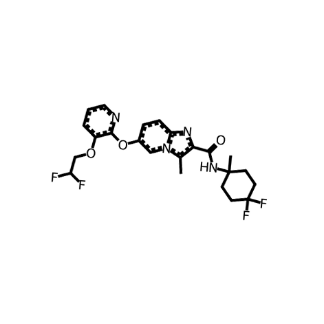 Cc1c(C(=O)NC2(C)CCC(F)(F)CC2)nc2ccc(Oc3ncccc3OCC(F)F)cn12